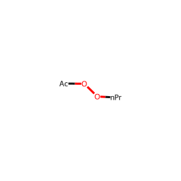 CCCOOC(C)=O